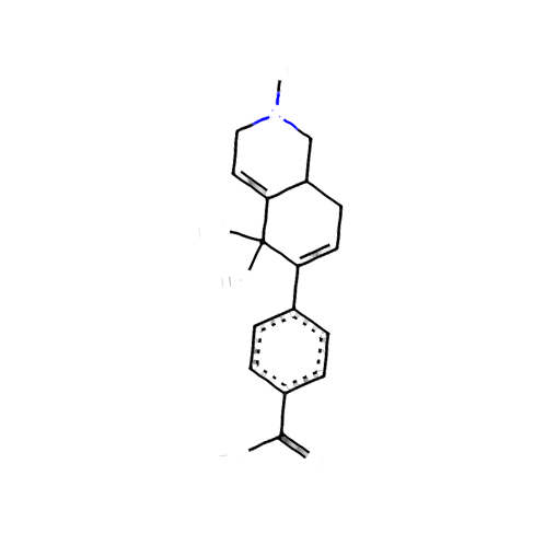 C=C(C)c1ccc(C2=CCC3CN(C)CC=C3C2(C)C)cc1